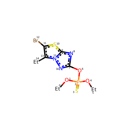 CCOP(=S)(OCC)Oc1nc2sc(Br)c(CC)n2n1